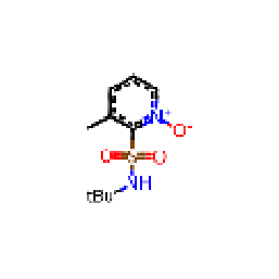 Cc1ccc[n+]([O-])c1S(=O)(=O)NC(C)(C)C